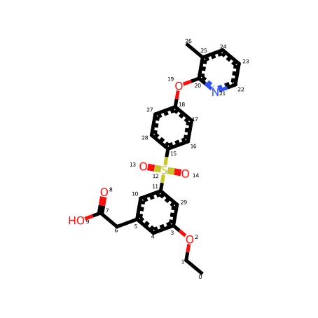 CCOc1cc(CC(=O)O)cc(S(=O)(=O)c2ccc(Oc3ncccc3C)cc2)c1